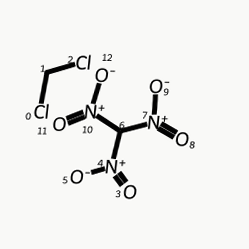 ClCCl.O=[N+]([O-])C([N+](=O)[O-])[N+](=O)[O-]